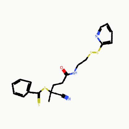 CC(C#N)(CCC(=O)NCCSSc1ccccn1)SC(=S)c1ccccc1